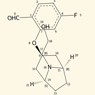 O=Cc1ccc(F)cc1O[C@H]1C[C@H]2CC[C@@H](C1)N2CCO